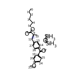 CCCCCCOC(=O)/C(C)=C/c1ccc(C(=O)c2ccc(OC)cc2)cc1.[SiH3]O[SiH3]